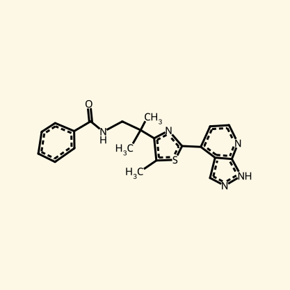 Cc1sc(-c2ccnc3[nH]ncc23)nc1C(C)(C)CNC(=O)c1ccccc1